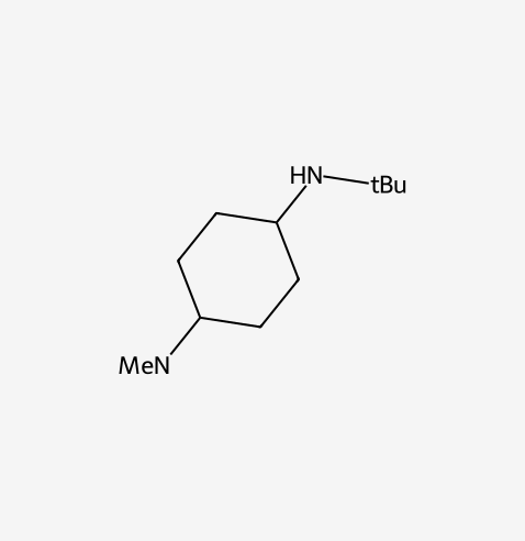 CNC1CCC(NC(C)(C)C)CC1